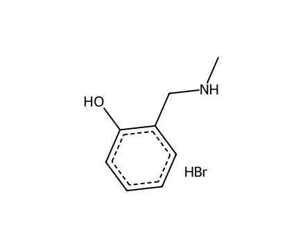 Br.CNCc1ccccc1O